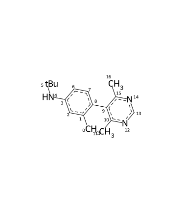 Cc1cc(NC(C)(C)C)ccc1-c1c(C)ncnc1C